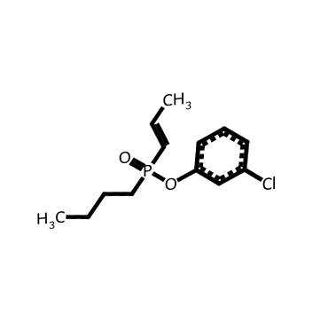 CC=CP(=O)(CCCC)Oc1cccc(Cl)c1